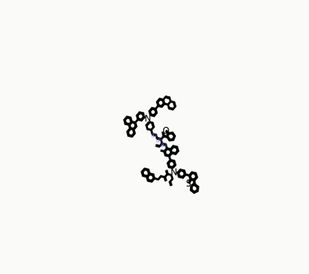 C=CCC(C(=C)C(=C)CCc1ccc2ccccc2c1)N(c1ccc(-c2cc(C)c(/C=C(C=C)/C(=C/C=C/C3C=CC(N(c4ccc(-c5ccc6c(c5)C5C=CC=CC5C=C6)cc4)c4cccc(-c5cc6ccccc6c6ccccc56)c4)=CC3)c3coc4ccccc34)c3ccccc23)cc1)c1ccc(-c2cccc3c2sc2ccccc23)cc1